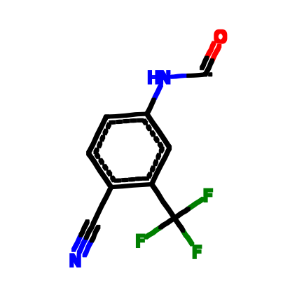 N#Cc1ccc(N[C]=O)cc1C(F)(F)F